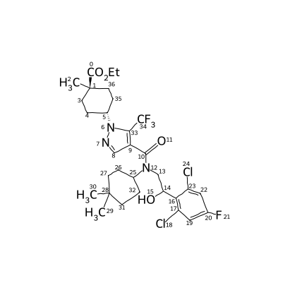 CCOC(=O)[C@]1(C)CC[C@@H](n2ncc(C(=O)N(CC(O)c3c(Cl)cc(F)cc3Cl)C3CCC(C)(C)CC3)c2C(F)(F)F)CC1